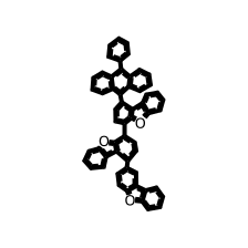 c1ccc(-c2c3ccccc3c(-c3ccc(-c4ccc(-c5ccc6oc7ccccc7c6c5)c5c4oc4ccccc45)c4oc5ccccc5c34)c3ccccc23)cc1